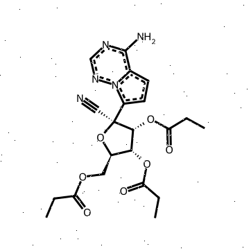 CCC(=O)OC[C@H]1O[C@@](C#N)(c2ccc3c(N)ncnn23)[C@H](OC(=O)CC)[C@@H]1OC(=O)CC